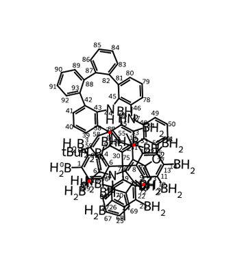 Bc1c(B)c(B)c(C(c2c(B)c(B)c(B)c(B)c2B)(c2c(B)c(B)c(C)c(B)c2B)c2c(B)c(B)c(B)c(-c3cccc4c3[nH]c3c(Nc5cccc6c5C5(C)/C=C/C=C(C(C)(C)C)\C=C(/N)n7c8ccccc8c8ccc(c5c87)O6)cccc3c3ccccc3c3ccccc43)c2B)c(B)c1B